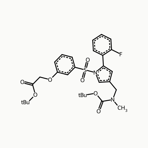 CN(Cc1cc(-c2ccccc2F)n(S(=O)(=O)c2cccc(OCC(=O)OC(C)(C)C)c2)c1)C(=O)OC(C)(C)C